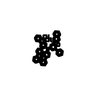 CC1(C)c2ccccc2-c2ccc(N(C3=CCC4C(=C3)C3(c5ccccc5-c5ccccc53)c3ccccc34)C3=Cc4c(oc5cc6ccccc6cc45)C(c4ccccc4)C3)cc21